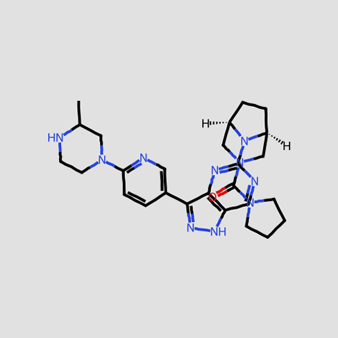 CC1CN(c2ccc(-c3n[nH]c4cnc(N5[C@@H]6CC[C@H]5CN(C(=O)N5CCCC5)C6)nc34)cn2)CCN1